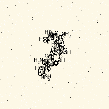 CC(=O)N[C@@H](CS)C(=O)N[C@@H](CS)C(=O)N[C@@H](CC(N)=O)C(=O)N1CCC[C@H]1C(=O)N[C@@H](C)C(=O)N[C@@H](CS)C(=O)NCC(=O)N[C@@H](CCCNC(=N)N)C(=O)N[C@@H](CC(N)=O)C(=O)N[C@@H](Cc1ccc(O)cc1)C(=O)N[C@@H](CO)C(=O)N[C@@H](CS)C(N)=O